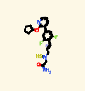 NC(=O)CN(S)C/C=C/c1c(F)cc(-c2cccnc2OC2CCCC2)cc1F